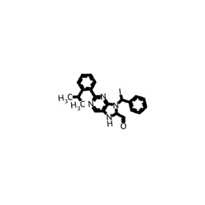 CC(C)c1ccccc1-c1ncc2c(n1)N(C(I)c1ccccc1)C(C=O)N2